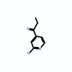 CCC(=O)c1ccnc(Cl)c1